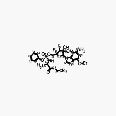 CCOc1nc(N)nc2c1ncn2C1O[C@](F)(COP(=O)(NC(C)C(=O)OCC(C)(C)C)Oc2ccccc2)[C@@H](F)[C@@]1(C)O